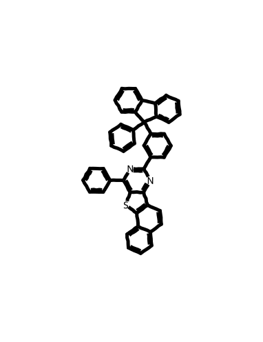 c1ccc(-c2nc(-c3cccc(C4(c5ccccc5)c5ccccc5-c5ccccc54)c3)nc3c2sc2c4ccccc4ccc32)cc1